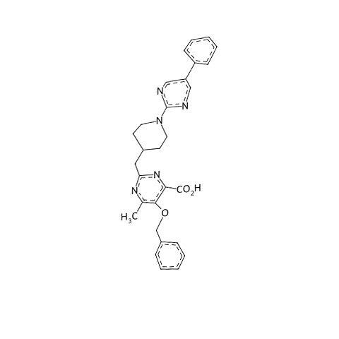 Cc1nc(CC2CCN(c3ncc(-c4ccccc4)cn3)CC2)nc(C(=O)O)c1OCc1ccccc1